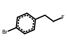 F[CH]Cc1ccc(Br)cc1